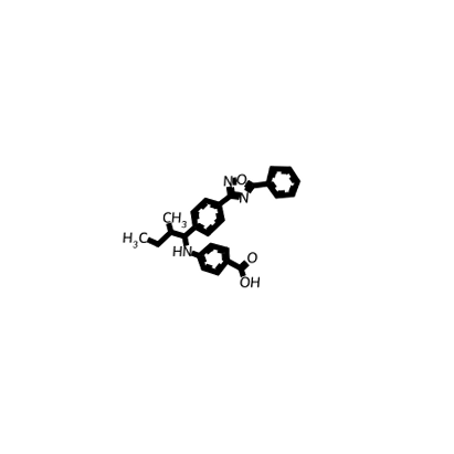 CCC(C)C(Nc1ccc(C(=O)O)cc1)c1ccc(-c2noc(-c3ccccc3)n2)cc1